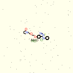 COc1cc2c(N(Cl)c3ccccc3F)ncnc2cc1OCCOCCN1CCCC1=O.Cl